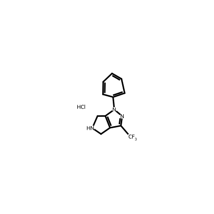 Cl.FC(F)(F)c1nn(-c2ccccc2)c2c1CNC2